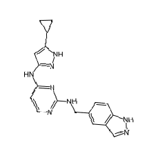 c1cc(Nc2cc(C3CC3)[nH]n2)nc(NCc2ccc3[nH]ncc3c2)n1